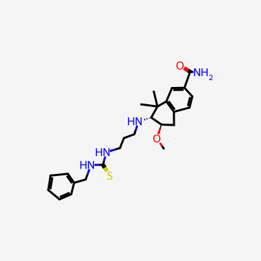 CO[C@@H]1Cc2ccc(C(N)=O)cc2C(C)(C)[C@H]1NCCCNC(=S)NCc1ccccc1